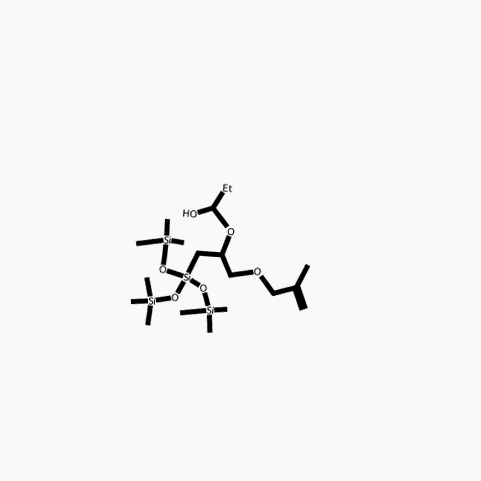 C=C(C)COCC(C[Si](O[Si](C)(C)C)(O[Si](C)(C)C)O[Si](C)(C)C)OC(O)CC